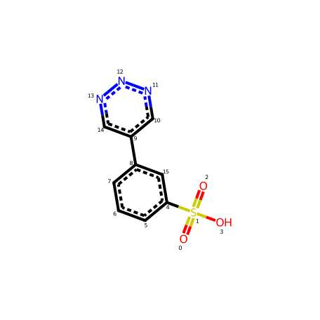 O=S(=O)(O)c1cccc(-c2cnnnc2)c1